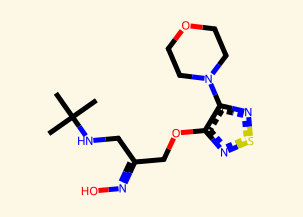 CC(C)(C)NC/C(COc1nsnc1N1CCOCC1)=N\O